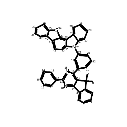 CC1(C)c2ccccc2-c2nc(-c3ccccc3)nc(-c3cccc(-n4c5ccccc5c5c6sc7ccccc7c6ccc54)c3)c21